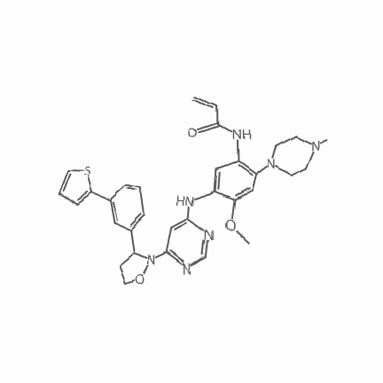 C=CC(=O)Nc1cc(Nc2cc(N3OCCC3c3cccc(-c4cccs4)c3)ncn2)c(OC)cc1N1CCN(C)CC1